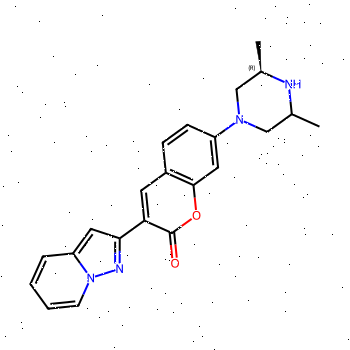 CC1CN(c2ccc3cc(-c4cc5ccccn5n4)c(=O)oc3c2)C[C@@H](C)N1